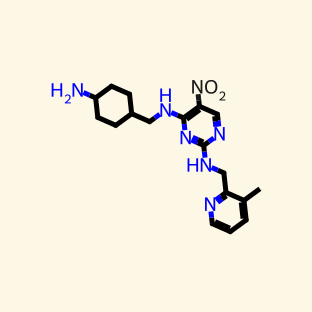 Cc1cccnc1CNc1ncc([N+](=O)[O-])c(NCC2CCC(N)CC2)n1